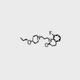 CCCOC1CCN(CCCN2C(=O)CCc3cccc(F)c32)CC1